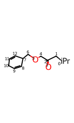 CC(C)CC(=O)COCC1C=CCC=C1